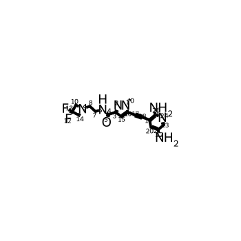 Cn1nc(C(=O)NCCN2CC(F)(F)C2)cc1C#Cc1cc(N)cnc1N